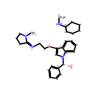 CN1CCCC1=NCCSc1cn(Cc2ccccc2)c2ccccc12.O.O=S(=O)(O)NC1CCCCC1